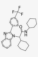 O=C(NC1CCCCC1)C(C1CCCCC1)n1c(-c2ccc(C(F)(F)F)cc2)nc2ccccc21